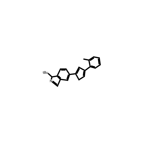 Cc1ccccc1C1=CCC(c2ccc3c(c2)C=NC3C(C)(C)C)=C1